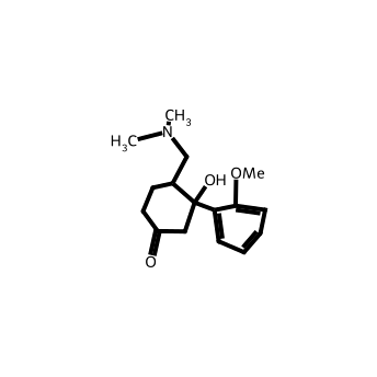 COc1ccccc1C1(O)CC(=O)CCC1CN(C)C